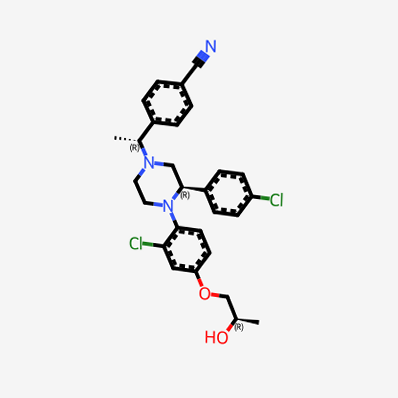 C[C@H](c1ccc(C#N)cc1)N1CCN(c2ccc(OC[C@@H](C)O)cc2Cl)[C@H](c2ccc(Cl)cc2)C1